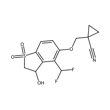 N#CC1(COc2ccc3c(c2C(F)F)C(O)CS3(=O)=O)CC1